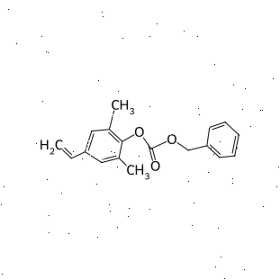 C=Cc1cc(C)c(OC(=O)OCc2ccccc2)c(C)c1